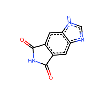 O=C1NC(=O)c2cc3[nH]cnc3cc21